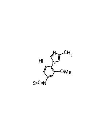 COc1cc(N=C=S)ccc1-n1cnc(C)c1.I